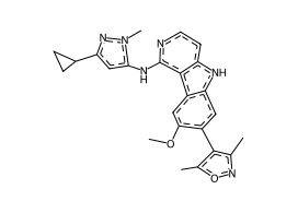 COc1cc2c(cc1-c1c(C)noc1C)[nH]c1ccnc(Nc3cc(C4CC4)nn3C)c12